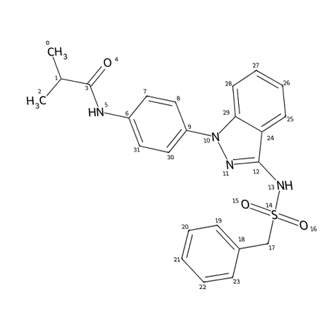 CC(C)C(=O)Nc1ccc(-n2nc(NS(=O)(=O)Cc3ccccc3)c3ccccc32)cc1